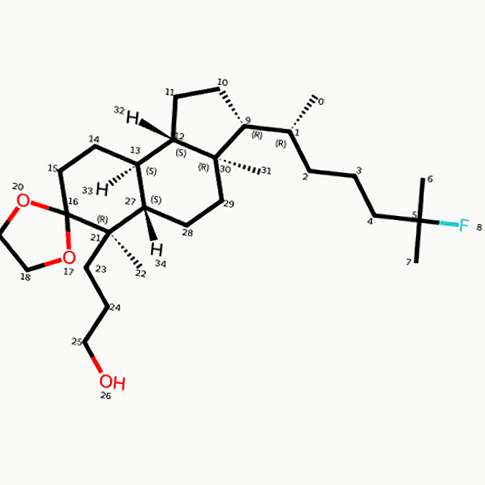 C[C@H](CCCC(C)(C)F)[C@H]1CC[C@H]2[C@@H]3CCC4(OCCO4)[C@](C)(CCCO)[C@H]3CC[C@]12C